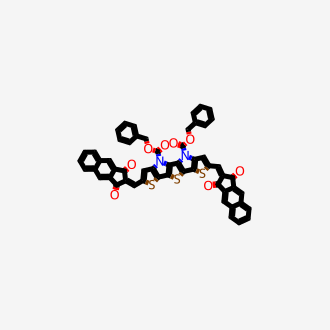 O=C1C(=Cc2cc3c(s2)c2sc4c5sc(C=C6C(=O)c7cc8ccccc8cc7C6=O)cc5n(C(=O)OCc5ccccc5)c4c2n3C(=O)OCc2ccccc2)C(=O)c2cc3ccccc3cc21